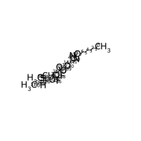 CCCCCCCCOc1ncc(-c2ccc(OC(=O)c3ccc(OCCC(CCCC)[SiH](C)C)c(F)c3F)cc2)cn1